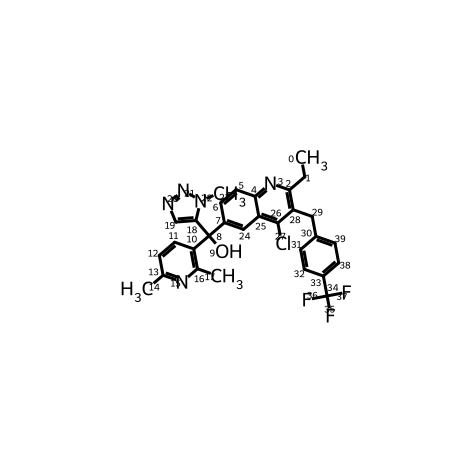 CCc1nc2ccc(C(O)(c3ccc(C)nc3C)c3cnnn3C)cc2c(Cl)c1Cc1ccc(C(F)(F)F)cc1